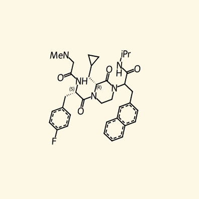 CNCC(=O)N[C@@H](Cc1ccc(F)cc1)C(=O)N1CCN(C(Cc2ccc3ccccc3c2)C(=O)NC(C)C)C(=O)[C@H]1CC1CC1